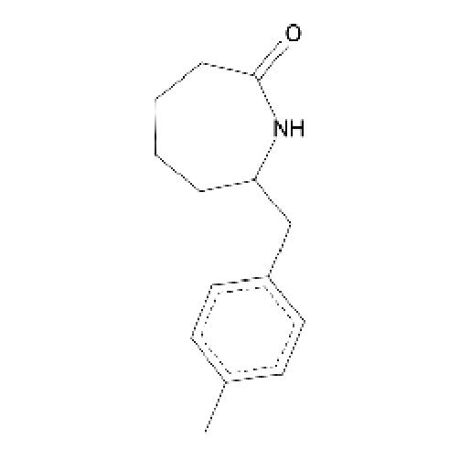 Cc1ccc(CC2CCCCC(=O)N2)cc1